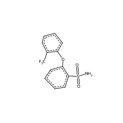 NS(=O)(=O)c1ccccc1Oc1ccccc1C(F)(F)F